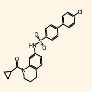 O=C(C1CC1)N1CCCc2ccc(NS(=O)(=O)c3ccc(-c4ccc(Cl)cc4)cc3)cc21